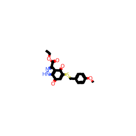 CCOC(=O)c1n[nH]c2c1C(=O)C(SCc1ccc(OC)cc1)=CC2=O